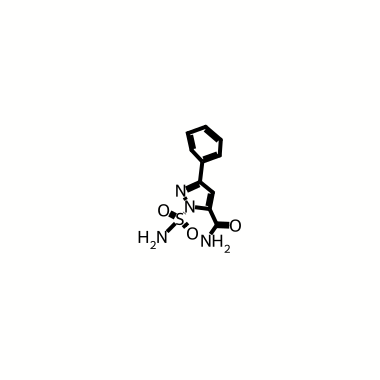 NC(=O)c1cc(-c2ccccc2)nn1S(N)(=O)=O